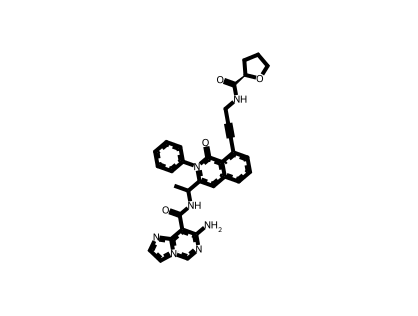 CC(NC(=O)c1c(N)ncn2ccnc12)c1cc2cccc(C#CCNC(=O)[C@H]3CCCO3)c2c(=O)n1-c1ccccc1